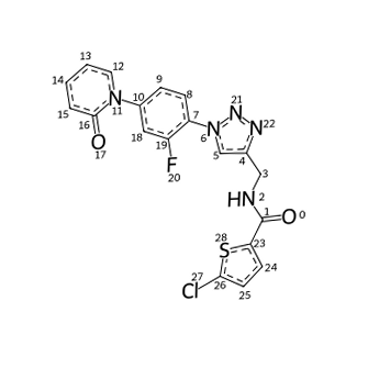 O=C(NCc1cn(-c2ccc(-n3ccccc3=O)cc2F)nn1)c1ccc(Cl)s1